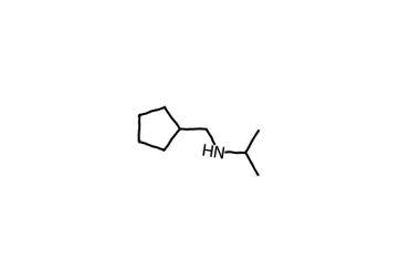 CC(C)NCC1CCCC1